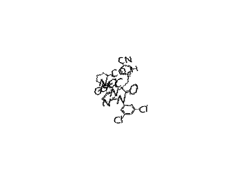 CC1(Cc2ccc(C#N)cc2)C(=O)N(c2cc(Cl)cc(Cl)c2)c2ncc(S(=O)(=O)N3CCCC3C(=O)O)n21